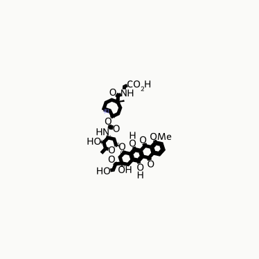 COc1cccc2c1C(=O)c1c(O)c3c(c(O)c1C2=O)C[C@@](O)(C(=O)CO)C[C@@H]3O[C@H]1C[C@@H](NC(=O)O[C@@H]2/C=C/CC[C@](C)(C(=O)NCC(=O)O)CC2)[C@H](O)C(C)O1